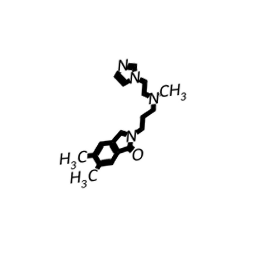 Cc1cc2c(cc1C)C(=O)N(CCCN(C)CCn1ccnc1)C2